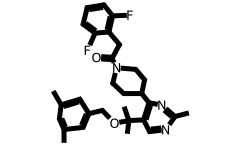 Cc1cc(C)cc(COC(C)(C)c2cnc(C)nc2C2CCN(C(=O)Cc3c(F)cccc3F)CC2)c1